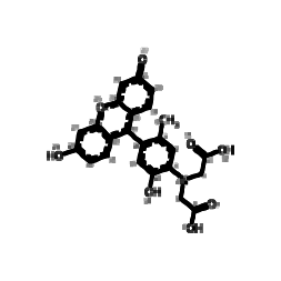 Cc1cc(N(CC(=O)O)CC(=O)O)c(O)cc1-c1c2ccc(=O)cc-2oc2cc(O)ccc12